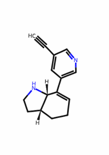 C#Cc1cncc(C2=CCC[C@@H]3CCN[C@H]23)c1